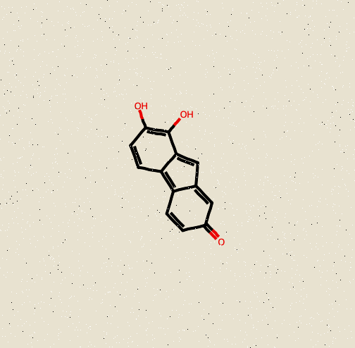 O=C1C=CC2=c3ccc(O)c(O)c3=CC2=C1